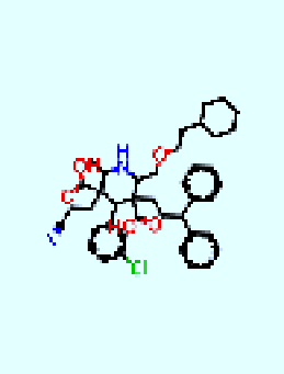 CC1NC(COCCC2CCCCC2)C(CCC(c2ccccc2)c2ccccc2)(C(=O)O)C(c2cccc(Cl)c2)C1(CCC#N)C(=O)O